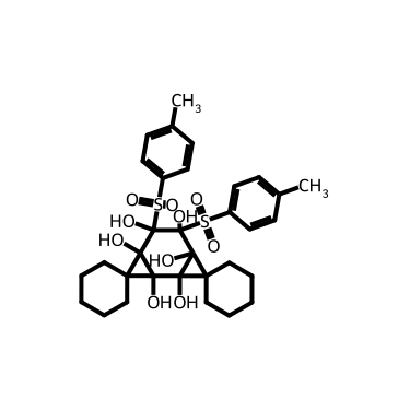 Cc1ccc(S(=O)(=O)C2(O)C3(O)C4(CCCCC4)C3(O)C3(O)C4(CCCCC4)C3(O)C2(O)S(=O)(=O)c2ccc(C)cc2)cc1